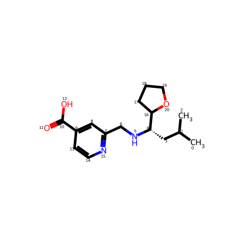 CC(C)C[C@H](NCc1cc(C(=O)O)ccn1)C1CCCO1